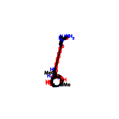 CO[C@H]1C[C@@H]2CC[C@@H](C)[C@@](O)(O2)C(=O)C(=O)N2CCCC[C@H]2C(=O)O[C@H]([C@H](N)C[C@@H]2CC[C@@H](OC(=O)NCCOCCOCCOCCOCCOCCOCCOCCOCCC(=O)N3CCc4cc(Cn5nc(-c6ccc7oc(N)nc7c6)c6cncnc65)ccc4C3)[C@H](OC)C2)CC(=O)[C@H](C)/C=C(\C)[C@@H](O)[C@@H](O)C(=O)[C@H](C)C[C@H](C)/C=C/C=C/C=C/1C